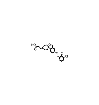 O=C(O)CCN1CCC2(CC1)OCc1cc(OCc3cccc(Cl)c3Cl)ccc12